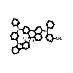 Cc1cccc(N(c2ccccc2)C2CC=C3c4ccc(N(c5ccccc5)c5cccc(-n6c7c(c8ccccc86)CCC=C7)c5)cc4C(C)(C)c4cccc2c43)c1